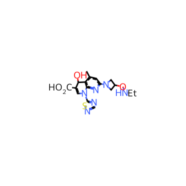 CCNOC1CN(c2cc(C)c3c(n2)N(c2ncns2)C=C(C(=O)O)C3O)C1